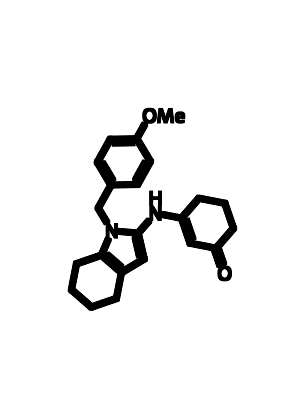 COc1ccc(Cn2c(NC3=CC(=O)CCC3)cc3c2CCCC3)cc1